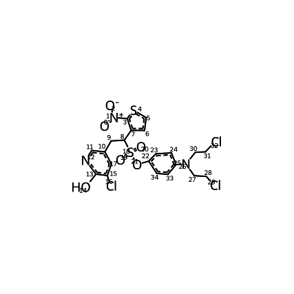 O=[N+]([O-])c1sccc1C(Cc1cnc(O)c(Cl)c1)S(=O)(=O)Oc1ccc(N(CCCl)CCCl)cc1